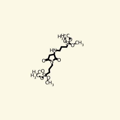 CO[Si](CCCNC1CC(=O)N(CCC[Si](OC)(OC)OC)C1=O)(OC)OC